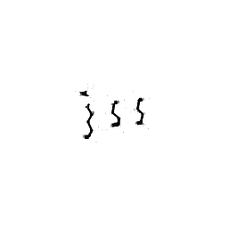 N=C(N)NCCC[C@H](N)C(=O)O.NC(=O)C[C@H](N)C(=O)O.NC(=O)C[C@H](N)C(=O)O